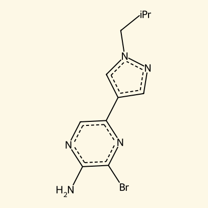 CC(C)Cn1cc(-c2cnc(N)c(Br)n2)cn1